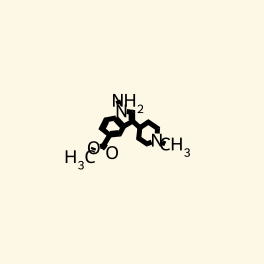 COC(=O)c1ccc2c(c1)c(C1CCN(C)CC1)cn2N